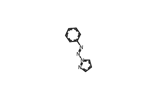 c1ccc(/N=N/n2cccn2)cc1